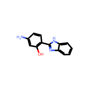 Nc1ccc(-c2nc3ccccc3[nH]2)c(O)c1